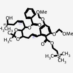 COCOc1cc(/C=C/CC2OC(C)(C)OC2C(/C=C\C[C@@H](C)O)OC(=O)c2ccccc2)c(C(=O)OCC[Si](C)(C)C)c(OCOC)c1